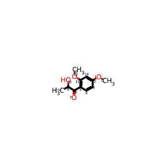 COc1ccc(C(=O)C(C)O)c(OC)c1